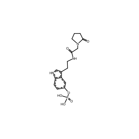 O=C(CN1CCCC1=O)NCCc1c[nH]c2ccc(OP(=O)(O)O)cc12